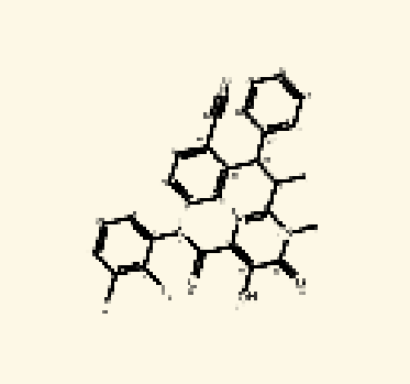 CC(c1nc(C(=O)Nc2cccc(F)c2F)c(O)c(=O)n1C)C(c1ccccc1)c1ccccc1C#N